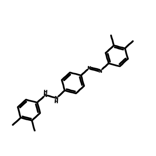 Cc1ccc(N=Nc2ccc(NNc3ccc(C)c(C)c3)cc2)cc1C